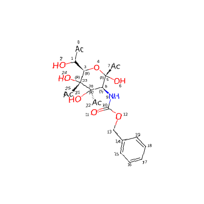 CC(=O)C(O)[C@H]1O[C@@](O)(C(C)=O)[C@@H](NC(=O)OCc2ccccc2)[C@](O)(C(C)=O)[C@@]1(O)C(C)=O